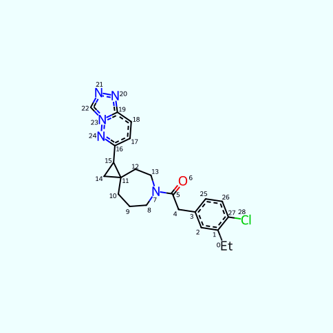 CCc1cc(CC(=O)N2CCCC3(CC2)CC3c2ccc3nncn3n2)ccc1Cl